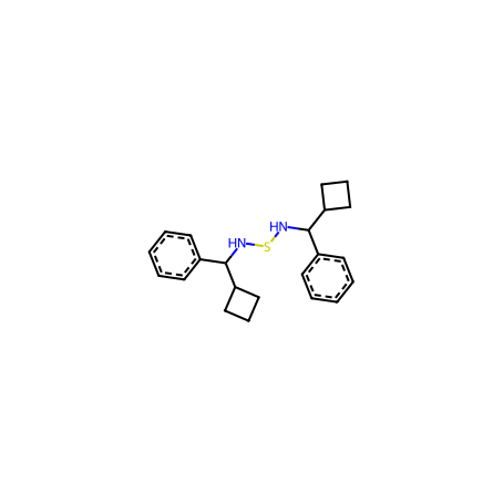 c1ccc(C(NSNC(c2ccccc2)C2CCC2)C2CCC2)cc1